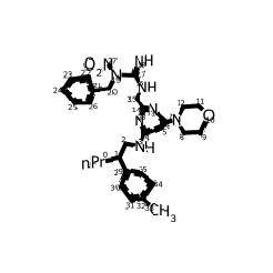 CCCC(CNc1cc(N2CCOCC2)nc(CNC(=N)N(Cc2ccccc2)[N+](=O)[O-])n1)c1ccc(C)cc1